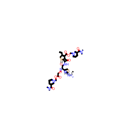 C=CC1=C(C(=O)OC[n+]2cccc(C(=O)N(C)C)c2)C2C(=O)[C@@H](NC(=O)/C(=N/OCC(=O)OC[n+]3cccc(C(=O)N(C)C)c3)c3csc(N)n3)[C@H]2SC1.CS(=O)(=O)O